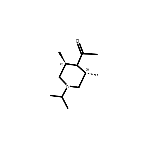 CC(=O)C1[C@H](C)CN(C(C)C)C[C@H]1C